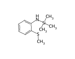 CSc1ccccc1N[Si](C)(C)C